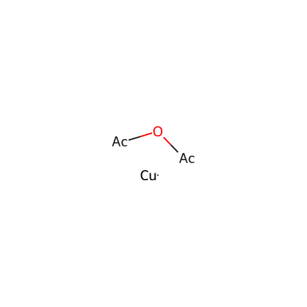 CC(=O)OC(C)=O.[Cu]